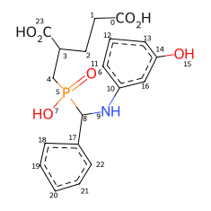 O=C(O)CCC(CP(=O)(O)C(Nc1cccc(O)c1)c1ccccc1)C(=O)O